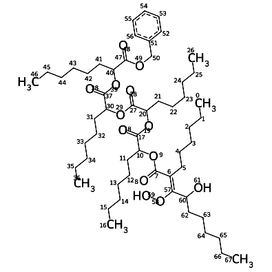 CCCCCC/C(C(=O)OC(CCCCCC)C(=O)OC(CCCCCC)C(=O)OC(CCCCCC)C(=O)OC(CCCCCC)C(=O)OCc1ccccc1)=C(/OO)C(O)CCCCCC